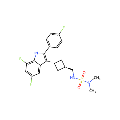 CN(C)S(=O)(=O)NC[C@H]1C[C@H](c2c(-c3ccc(F)cc3)[nH]c3c(F)cc(F)cc32)C1